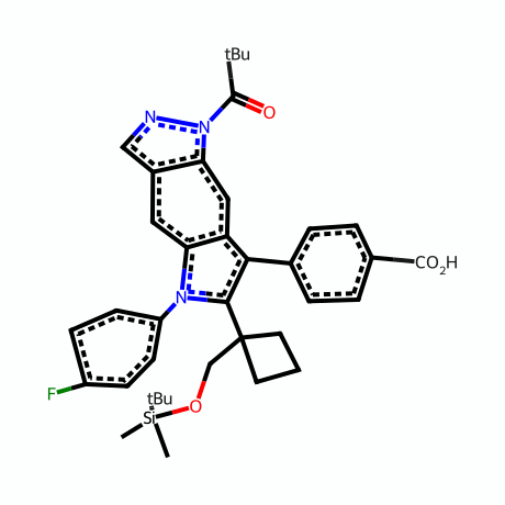 CC(C)(C)C(=O)n1ncc2cc3c(cc21)c(-c1ccc(C(=O)O)cc1)c(C1(CO[Si](C)(C)C(C)(C)C)CCC1)n3-c1ccc(F)cc1